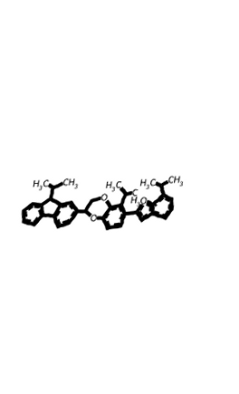 CC(C)c1c(-c2cc3cccc(C(C)C)c3o2)ccc2c1OCC(c1ccc3c(c1)C(C(C)C)c1ccccc1-3)O2